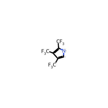 FC(F)(F)C1=[C][N]C(C(F)(F)F)=C1C(F)(F)F